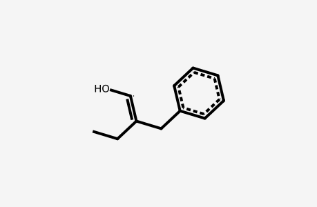 CCC(=[C]O)Cc1ccccc1